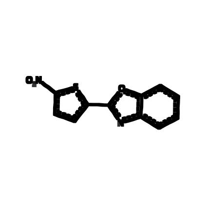 O=[N+]([O-])c1ccc(-c2nc3ccccc3o2)s1